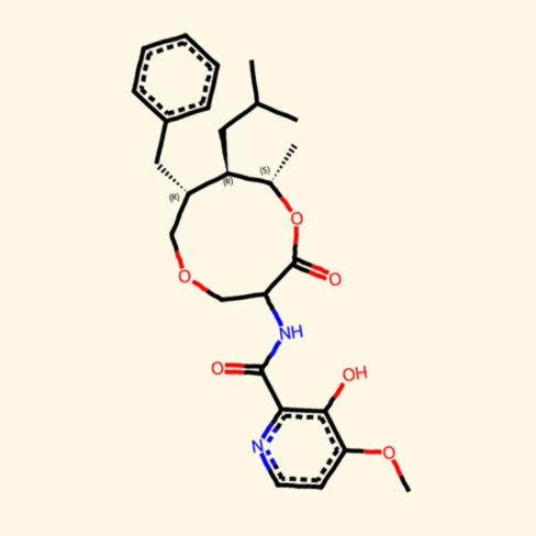 COc1ccnc(C(=O)NC2COC[C@H](Cc3ccccc3)[C@@H](CC(C)C)[C@H](C)OC2=O)c1O